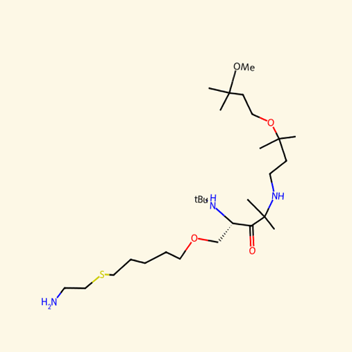 COC(C)(C)CCOC(C)(C)CCNC(C)(C)C(=O)[C@H](COCCCCCSCCN)NC(C)(C)C